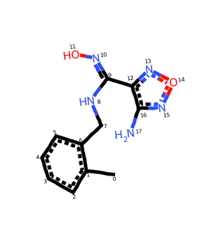 Cc1ccccc1CN/C(=N\O)c1nonc1N